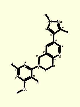 COc1nc(C)nc(N2CCc3ncc(-c4cn(C)nc4C)cc3C2)c1C